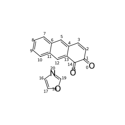 O=C1C=Cc2cc3ccccc3cc2C1=O.c1cocn1